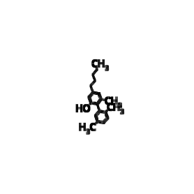 CCCCCc1cc(C)c(-c2cc(C)ccc2C)c(O)c1